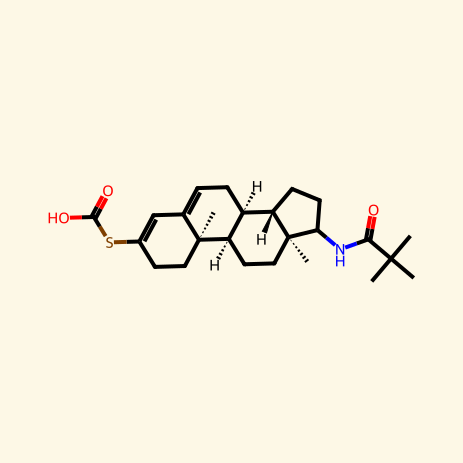 CC(C)(C)C(=O)NC1CC[C@H]2[C@@H]3CC=C4C=C(SC(=O)O)CC[C@]4(C)[C@@H]3CC[C@]12C